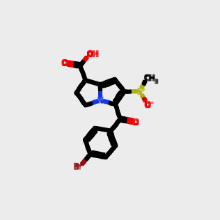 C[S+]([O-])c1cc2n(c1C(=O)c1ccc(Br)cc1)CCC2C(=O)O